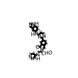 O=CC(CNc1ccnnc1)N1Cc2ccc(-c3nccc(Nc4ccc5[nH]ncc5c4)n3)cc2C1=O